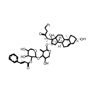 CC(C)CCC(=O)[C@@H](C)[C@@]1(O)[C@@H](OC2OCC(O)C(OC3OCC(O)C(O)C3OC(=O)/C=C/c3ccccc3)C2C)C[C@H]2[C@@H]3CC=C4C[C@@H](O)CC[C@]4(C)C3CC[C@@]21C